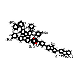 CCCCCCCCC1(CCCCCCCC)c2ccccc2-c2ccc(-c3ccc4c(c3)C(C)(C)c3cc(-c5ccc6c(c5)oc5cc(-c7ccc8c(c7)C7(c9ccccc9-8)c8cc(N(c9ccc(C(C)(C)C)cc9)c9ccc(C(C)(C)C)cc9)c9c(oc%10ccccc%109)c8-c8c7cc(N(c7ccc(C(C)(C)C)cc7)c7ccc(C(C)(C)C)cc7)c7oc9ccccc9c87)ccc56)ccc3-4)cc21